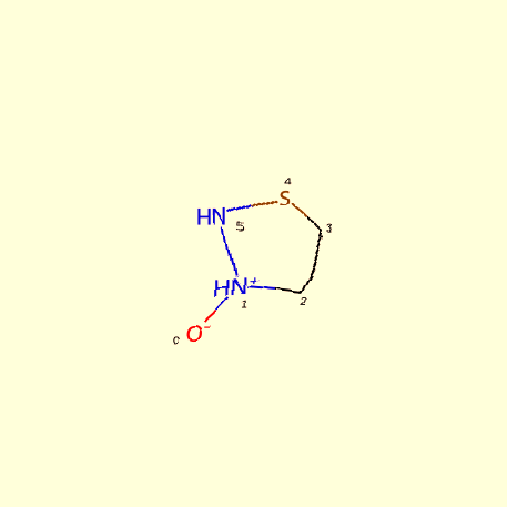 [O-][NH+]1C[CH]SN1